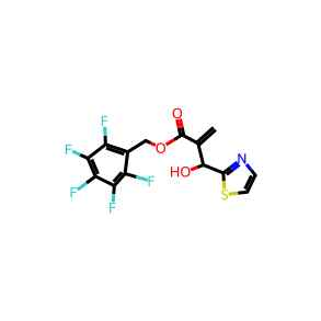 C=C(C(=O)OCc1c(F)c(F)c(F)c(F)c1F)C(O)c1nccs1